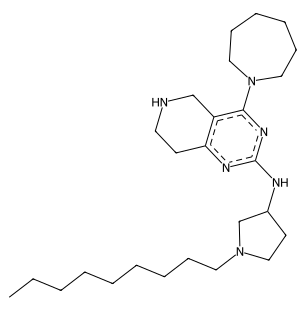 CCCCCCCCCN1CCC(Nc2nc3c(c(N4CCCCCC4)n2)CNCC3)C1